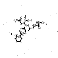 CNC(=N)NCCC[C@H](NC(=O)C1CCCCC1C)C(=O)N[C@@H](CC(C)C)B(O)O